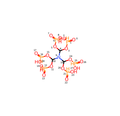 O=[PH](O)OC(O[PH](=O)O)N(C(O[PH](=O)O)O[PH](=O)O)C(O[PH](=O)O)O[PH](=O)O